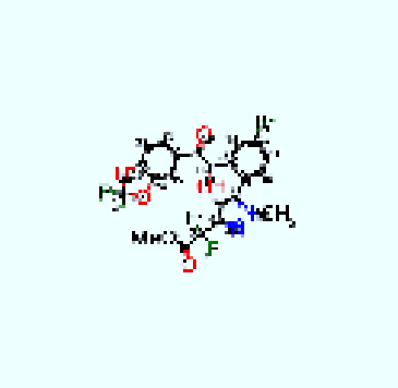 COC(=O)C(F)(F)c1cc(-c2ccc(Br)cc2C(O)C(=O)c2ccc3c(c2)OC(F)(F)O3)n(C)n1